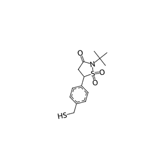 CC(C)(C)N1C(=O)CC(c2ccc(CS)cc2)S1(=O)=O